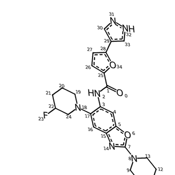 O=C(Nc1cc2oc(N3CCOCC3)nc2cc1N1CCCC(F)C1)c1ccc(-c2cn[nH]c2)o1